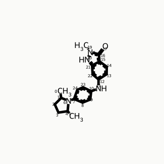 CC1CCC(C)N1c1ccc(Nc2ccc3c(=O)n(C)[nH]c3c2)cc1